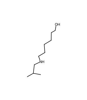 CC(C)CNCCCCCCO